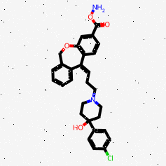 NOC(=O)c1ccc2c(c1)OCc1ccccc1C2=CCCN1CCC(O)(c2ccc(Cl)cc2)CC1